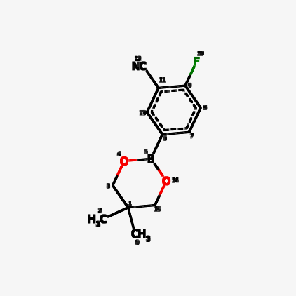 CC1(C)COB(c2ccc(F)c(C#N)c2)OC1